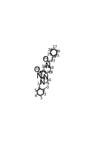 Cc1ccccc1CN1CCn2c1nc(=O)c1c2CCN(C(=O)Cc2ccccc2)C1